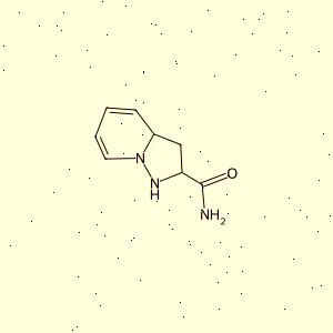 NC(=O)C1CC2C=CC=CN2N1